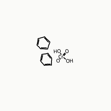 [O]=[Cr](=[O])([OH])[OH].c1ccccc1.c1ccccc1